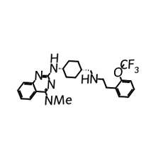 CNc1nc(N[C@H]2CC[C@@H](CNCCc3ccccc3OC(F)(F)F)CC2)nc2ccccc12